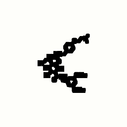 CCC(NC(=O)C(CC(C)C)NC(=O)NCc1ccc(OCCN(C)C)cc1)C(O)C(=O)NCc1cc(OC)cc(OC)c1